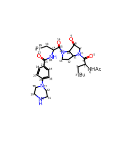 CC(=O)NC(CC(C)(C)C)C(=O)N1CC(=O)C2C1CCN2C(=O)C(CC(C)C)NC(=O)c1ccc(N2CCNCC2)cc1